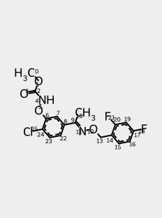 COC(=O)NOc1cc(/C(C)=N/OCc2ccc(F)cc2F)ccc1Cl